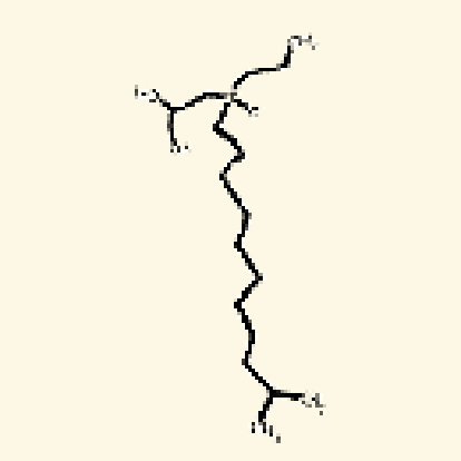 CCC[N+]([O-])(CCCCCCCCCC(C)C)CC(O)O